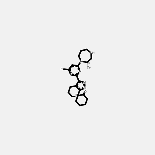 CC[C@H]1CNCCCN1c1cc(Cl)nc(-c2noc3c2CCC[C@@]32CCCCC2=O)n1